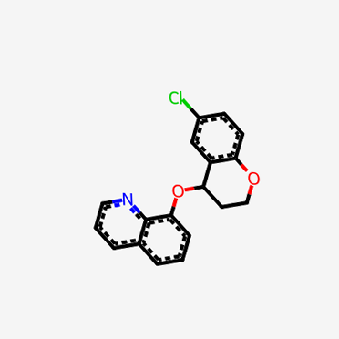 Clc1ccc2c(c1)C(Oc1cccc3cccnc13)CCO2